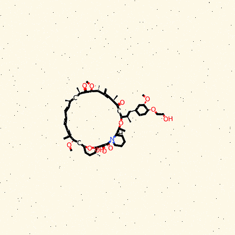 COC1C(=O)[C@H](C)C[C@H](C)/C=C/C=C/C=C(\C)[C@@H](OC)CC2CC[C@@H](C)[C@@](O)(O2)C(=O)C(=O)N2CCCC[C@H]2C(C)OC([C@H](C)C[C@@H]2CC[C@@H](OCCO)[C@H](OC)C2)CC(=O)[C@H](C)/C=C(\C)[C@H]1C